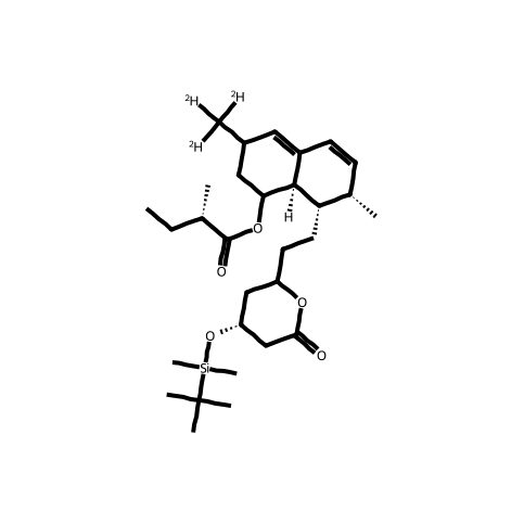 [2H]C([2H])([2H])C1C=C2C=C[C@H](C)[C@H](CCC3C[C@@H](O[Si](C)(C)C(C)(C)C)CC(=O)O3)[C@H]2C(OC(=O)[C@@H](C)CC)C1